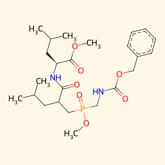 COC(=O)[C@H](CC(C)C)NC(=O)C(CC(C)C)CP(=O)(CNC(=O)OCc1ccccc1)OC